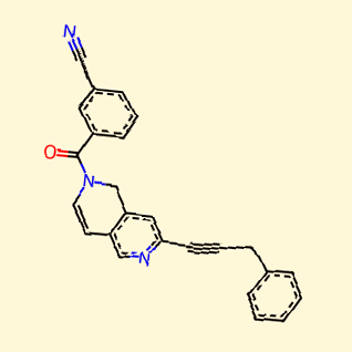 N#Cc1cccc(C(=O)N2C=Cc3cnc(C#CCc4ccccc4)cc3C2)c1